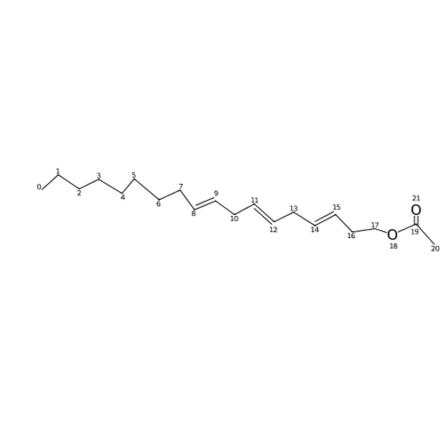 CCCCCCCCC=CCC=CCC=CCCOC(C)=O